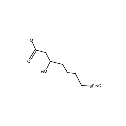 CCCCCCCCCC(O)CC([O])=O